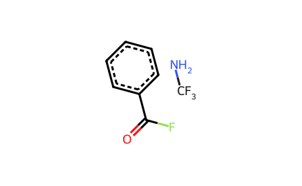 NC(F)(F)F.O=C(F)c1ccccc1